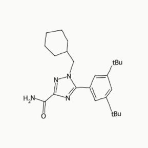 CC(C)(C)c1cc(-c2nc(C(N)=O)nn2CC2CCCCC2)cc(C(C)(C)C)c1